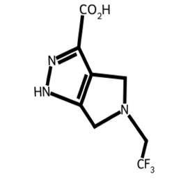 O=C(O)c1n[nH]c2c1CN(CC(F)(F)F)C2